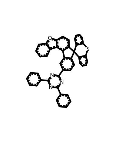 c1ccc(-c2nc(-c3ccccc3)nc(-c3ccc4c(c3)-c3c(ccc5oc6ccccc6c35)C43c4ccccc4Sc4ccccc43)n2)cc1